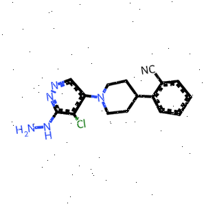 N#Cc1ccccc1C1CCN(c2cnnc(NN)c2Cl)CC1